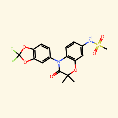 CC1(C)Oc2cc(NS(C)(=O)=O)ccc2N(c2ccc3c(c2)OC(F)(F)O3)C1=O